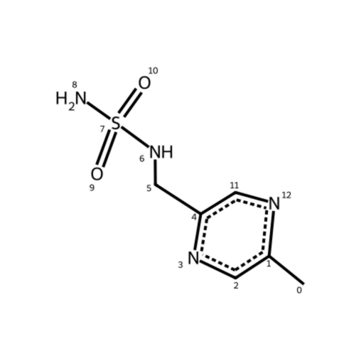 Cc1cnc(CNS(N)(=O)=O)cn1